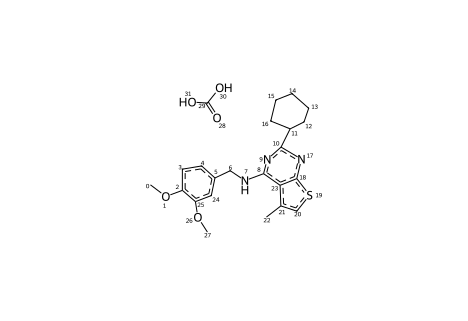 COc1ccc(CNc2nc(C3CCCCC3)nc3scc(C)c23)cc1OC.O=C(O)O